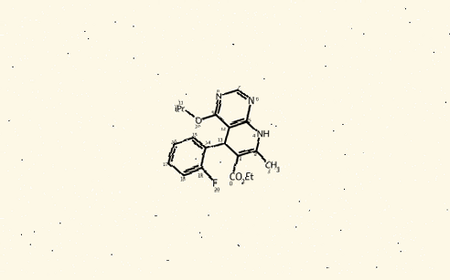 CCOC(=O)C1=C(C)Nc2ncnc(OC(C)C)c2C1c1ccccc1F